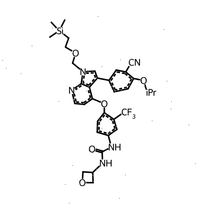 CC(C)Oc1ccc(-c2cn(COCC[Si](C)(C)C)c3nccc(Oc4ccc(NC(=O)NC5COC5)cc4C(F)(F)F)c23)cc1C#N